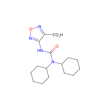 O=C(O)c1nonc1NC(=O)N(C1CCCCC1)C1CCCCC1